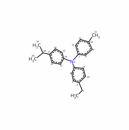 CCc1ccc(N(c2ccc(C)cc2)c2ccc(C(C)C)cc2)cc1